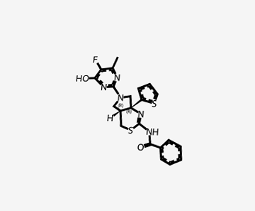 Cc1nc(N2C[C@H]3CSC(NC(=O)c4ccccc4)=N[C@@]3(c3cccs3)C2)nc(O)c1F